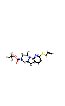 C=CCSc1ccc2c(n1)N1C(C)CN(C(=O)OC(C)(C)C)CC1C2